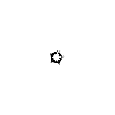 [c]1[c]nsc1